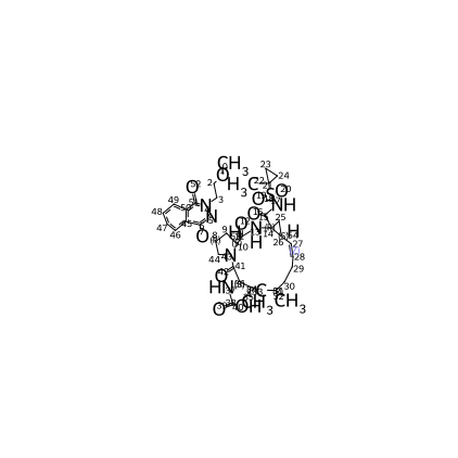 COCCn1nc(O[C@@H]2C[C@H]3C(=O)N[C@]4(C(=O)NS(=O)(=O)C5(C)CC5)C[C@H]4/C=C\CC[C@@H](C)C[C@@H](C)[C@H](NC(=O)O)C(=O)N3C2)c2ccccc2c1=O